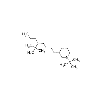 CCCC(CCCCC1CCCN(C(C)(C)C)C1)C(C)(C)C